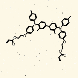 C=CC(=O)OCCOc1ccc(N(C2=CCC(c3ccc(N(c4ccc(C)cc4)c4ccc(OCCOC(=O)C=C)cc4)c(C)c3)C=C2C)c2ccc(C)cc2)cc1